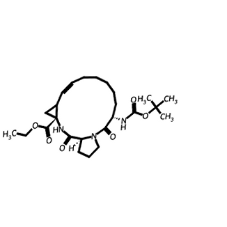 CCOC(=O)[C@@]12CC1/C=C\CCCCC[C@H](NC(=O)OC(C)(C)C)C(=O)N1CCC[C@H]1C(=O)N2